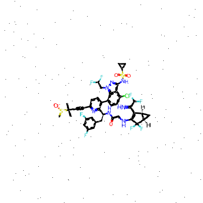 C[S+]([O-])C(C)(C)C#Cc1ccc(-c2ccc(Cl)c3c(NS(=O)(=O)C4CC4)nn(CC(F)F)c23)c([C@H](Cc2cc(F)cc(F)c2)NC(=O)CNC2=C(C(=N)C(F)F)[C@H]3C[C@H]3C2(F)F)n1